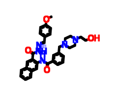 COc1ccc(/C=N/NC(=O)c2cc3ccccc3cc2NC(=O)c2cccc(CN3CCN(CCO)CC3)c2)cc1